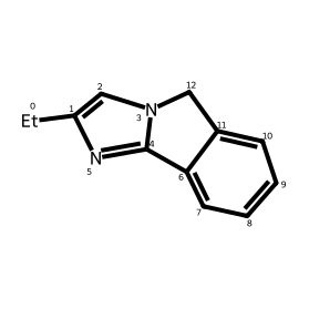 CCc1cn2c(n1)-c1ccccc1C2